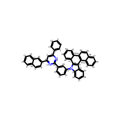 c1ccc(-c2cc(-c3ccc4ccccc4c3)nc(-c3cccc(-n4c5ccccc5c5c6c7ccccc7ccc6c6ccccc6c54)c3)n2)cc1